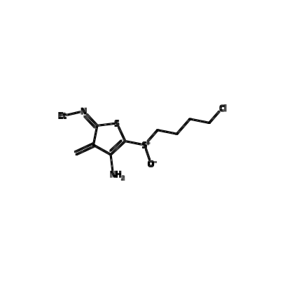 C=C1C(N)=C([S+]([O-])CCCCCl)S/C1=N/CC